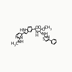 CNc1nccc(-c2cc3cc(C(=O)NC(CNc4nc(-c5ccccc5)cs4)C(=O)OC)ccc3[nH]2)n1